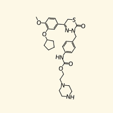 COc1ccc(C2=NN(Cc3ccc(NC(=O)OCCN4CCNCC4)cc3)C(=O)SC2)cc1OC1CCCC1